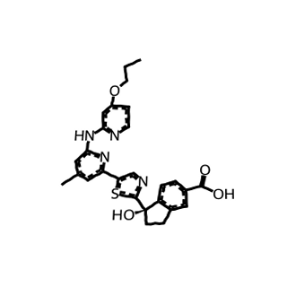 CCCOc1ccnc(Nc2cc(C)cc(-c3cnc([C@@]4(O)CCc5cc(C(=O)O)ccc54)s3)n2)c1